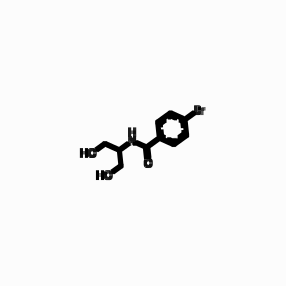 O=C(NC(CO)CO)c1ccc(Br)cc1